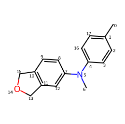 Cc1ccc(N(C)c2ccc3c(c2)COC3)cc1